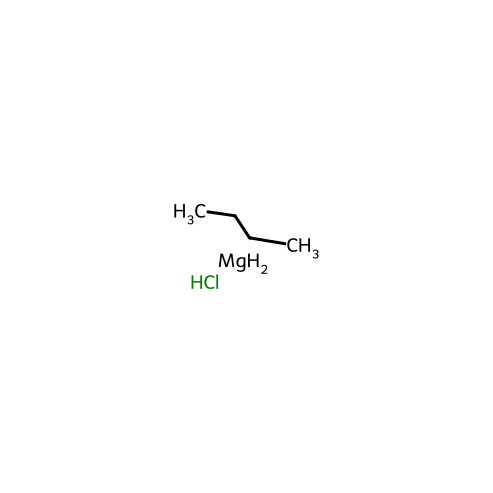 CCCC.Cl.[MgH2]